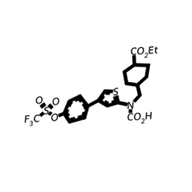 CCOC(=O)C1CCC(CN(C(=O)O)c2cc(-c3ccc(OS(=O)(=O)C(F)(F)F)cc3)cs2)CC1